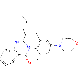 CCCCc1nc2ccccc2c(=O)n1-c1c(C)cc(N2CCOCC2)cc1C